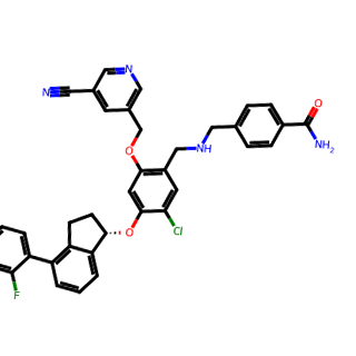 N#Cc1cncc(COc2cc(O[C@H]3CCc4c(-c5ccccc5F)cccc43)c(Cl)cc2CNCc2ccc(C(N)=O)cc2)c1